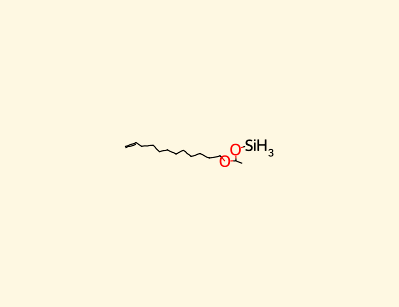 C=CCCCCCCCCCCOC(C)O[SiH3]